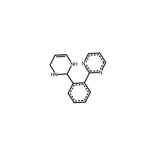 C1=CNC(c2ccccc2-c2ncccn2)NC1